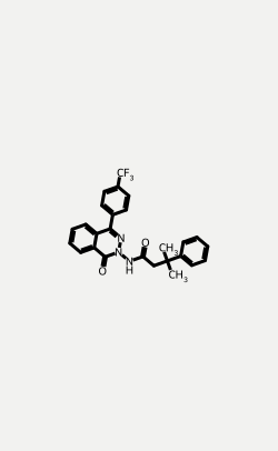 CC(C)(CC(=O)Nn1nc(-c2ccc(C(F)(F)F)cc2)c2ccccc2c1=O)c1ccccc1